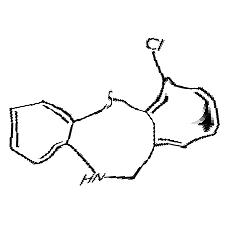 Clc1cccc2c1Sc1ccccc1NC2